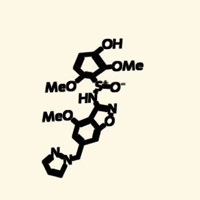 COc1ccc(O)c(OC)c1[S+]([O-])Nc1noc2cc(Cn3cccn3)cc(OC)c12